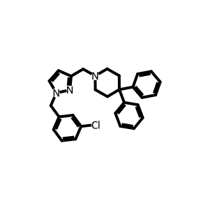 Clc1cccc(Cn2ccc(CN3CCC(c4ccccc4)(c4ccccc4)CC3)n2)c1